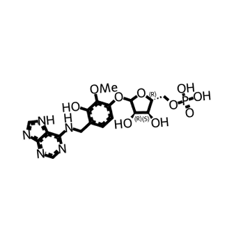 COc1c(OC2O[C@H](COP(=O)(O)O)[C@@H](O)[C@H]2O)ccc(CNc2ncnc3nc[nH]c23)c1O